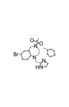 CS(=O)(=O)N1Cc2cc(Br)ccc2N(Cc2ncc[nH]2)C[C@H]1Cc1ccccc1